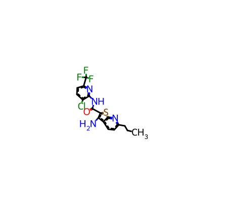 CCCc1ccc2c(N)c(C(=O)Nc3nc(C(F)(F)F)ccc3Cl)sc2n1